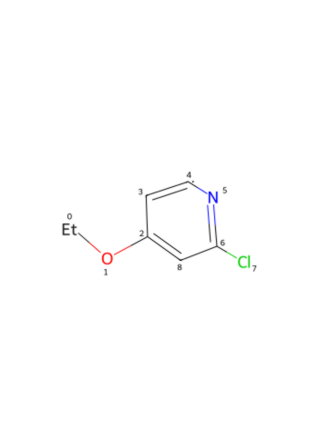 CCOc1c[c]nc(Cl)c1